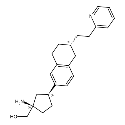 N[C@]1(CO)CC[C@H](c2ccc3c(c2)CC[C@H](CCc2ccccn2)C3)C1